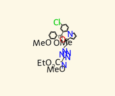 CCOC(=O)C(=NOC)c1nnn(CC[C@H]2O[C@H](c3cccc(OC)c3OC)c3cc(Cl)ccc3-n3cccc32)n1